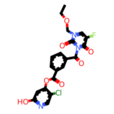 CCOCn1cc(F)c(=O)n(C(=O)c2cccc(C(=O)Oc3cc(O)ncc3Cl)c2)c1=O